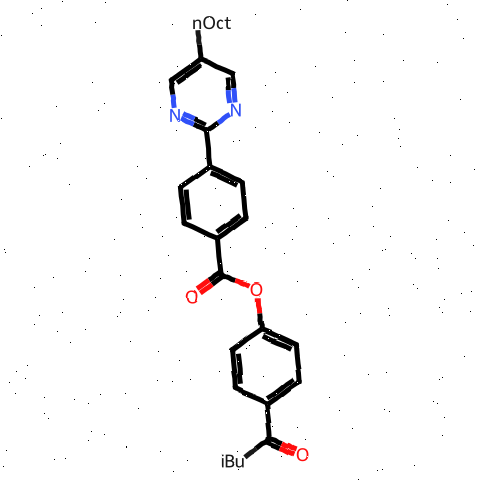 CCCCCCCCc1cnc(-c2ccc(C(=O)Oc3ccc(C(=O)C(C)CC)cc3)cc2)nc1